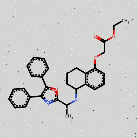 CCOC(=O)COc1cccc2c1CCCC2NC(C)c1nc(-c2ccccc2)c(-c2ccccc2)o1